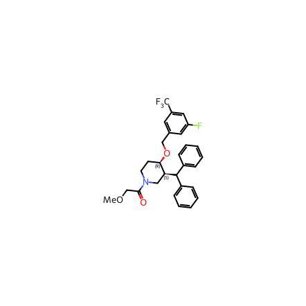 COCC(=O)N1CC[C@@H](OCc2cc(F)cc(C(F)(F)F)c2)[C@@H](C(c2ccccc2)c2ccccc2)C1